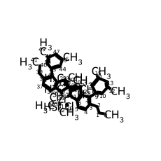 CCCc1ccc2c(c1-c1cc(C)cc(C)c1)C=C(C(C)(C)C)[CH]2[Zr]([Cl])([Cl])([CH]1C(C(C)(C)C)=Cc2c1ccc(CCC)c2-c1cc(C)cc(C)c1)[SiH](C)C